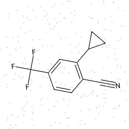 N#Cc1ccc(C(F)(F)F)cc1C1CC1